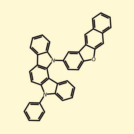 c1ccc(-n2c3ccccc3c3c2ccc2c4ccccc4n(-c4ccc5oc6cc7ccccc7cc6c5c4)c23)cc1